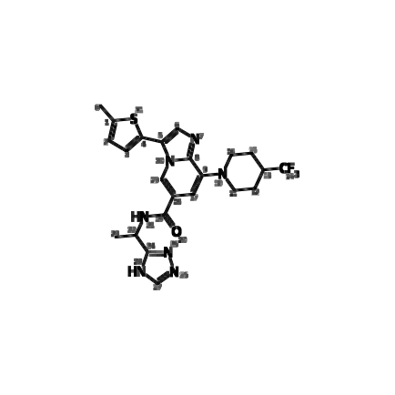 Cc1ccc(-c2cnc3c(N4CCC(C(F)(F)F)CC4)cc(C(=O)NC(C)c4nnc[nH]4)cn23)s1